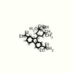 BC(CC)(CC)c1ccc2c(c1)C(C1CC(C)(C)N(O)C(C)(C)C1)c1cc(C(CC)CC)ccc1-2